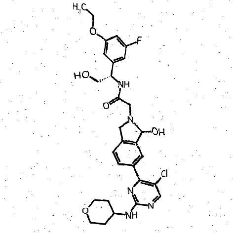 CCOc1cc(F)cc([C@@H](CO)NC(=O)CN2Cc3ccc(-c4nc(NC5CCOCC5)ncc4Cl)cc3C2O)c1